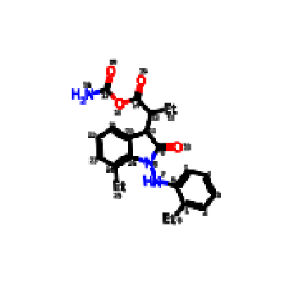 CCc1ccccc1NN1C(=O)C(C(CC)C(=O)OC(N)=O)c2cccc(CC)c21